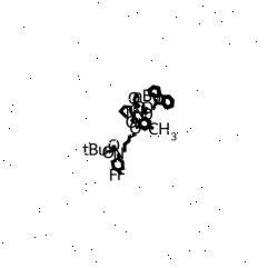 CCCCOC(=O)[C@@H]1CCCN1S(=O)(=NC(=O)OCC1c2ccccc2-c2ccccc21)c1ccc(C)cc1OCCCCCN(C(=O)OC(C)(C)C)C1CCC(F)(F)CC1